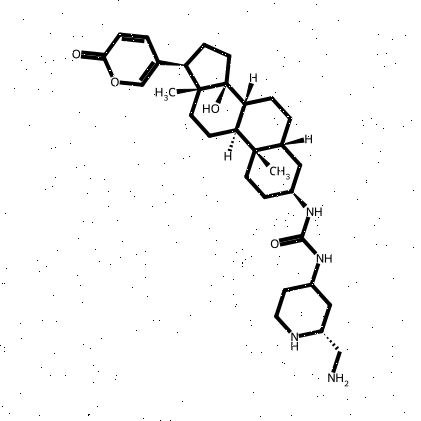 C[C@]12CC[C@H](NC(=O)NC3CCN[C@@H](CN)C3)C[C@H]1CC[C@@H]1[C@@H]2CC[C@]2(C)[C@@H](c3ccc(=O)oc3)CC[C@]12O